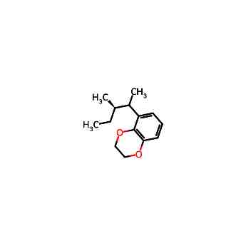 CC[C@@H](C)C(C)c1cccc2c1OCCO2